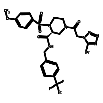 CCC(F)(F)c1ccc(CNC(=O)[C@H]2CN(C(=O)Cn3nnnc3C(C)C)CCN2S(=O)(=O)c2ccc(OC(F)(F)F)cc2)cc1